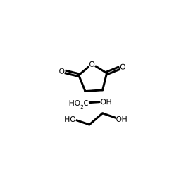 O=C(O)O.O=C1CCC(=O)O1.OCCO